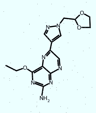 CCOc1nc(N)nc2ncc(-c3cnn(CC4OCCO4)c3)nc12